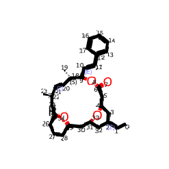 C/C=C1\CC2CC(=O)OC(/C=C/c3ccccc3)[C@@H](C)/C=C/[C@H](C)C[C@H]3CCCC(CC(C1)O2)O3